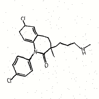 CNCCCC1(C)CC2=CC(Cl)CC=C2N(c2ccc(Cl)cc2)C1=O